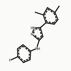 Cc1ccc(-c2cc(Nc3ccc(F)cc3)n[nH]2)c(C)c1